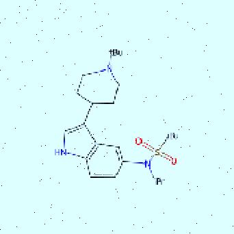 CCC(C)S(=O)(=O)N(c1ccc2[nH]cc(C3CCN(C(C)(C)C)CC3)c2c1)C(C)C